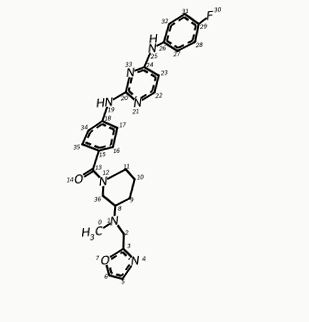 CN(Cc1ncco1)C1CCCN(C(=O)c2ccc(Nc3nccc(Nc4ccc(F)cc4)n3)cc2)C1